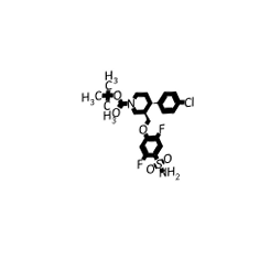 CC(C)(C)OC(=O)N1CC[C@H](c2ccc(Cl)cc2)[C@@H](COc2cc(F)c(S(N)(=O)=O)cc2F)C1